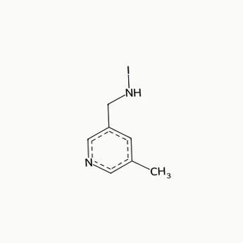 Cc1cncc(CNI)c1